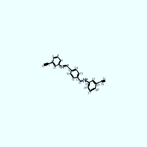 C#Cc1cccc(/N=C/c2ccc(/C=N/c3cccc(C#C)c3)cc2)c1